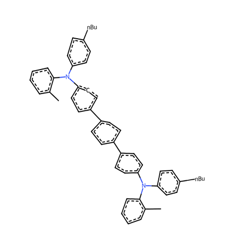 CCCCc1ccc(N(c2ccc(-c3ccc(-c4ccc(N(c5ccc(CCCC)cc5)c5ccccc5C)cc4)cc3)cc2)c2ccccc2C)cc1